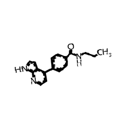 CCCNC(=O)c1ccc(-c2ccnc3[nH]ccc23)cc1